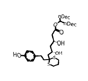 CCCCCCCCCCC(CCCCCCCCCC)OC(=O)C[C@H](O)C[C@H](O)CC1(CCc2ccc(O)cc2)SCCCS1